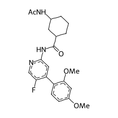 COc1ccc(-c2cc(NC(=O)C3CCCC(NC(C)=O)C3)ncc2F)c(OC)c1